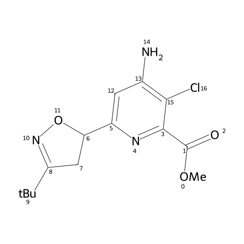 COC(=O)c1nc(C2CC(C(C)(C)C)=NO2)cc(N)c1Cl